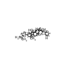 CC(C)[C@@H](OC(=O)N(C)C)C1C[C@@H](C)[C@H]2C(O1)[C@H](O)[C@@]1(C)C3CC[C@H]4C(C)(C)C(O[C@H]5CNCCO5)CC[C@@]45C[C@@]35CC[C@]21C